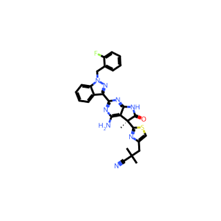 CC(C)(C#N)Cc1csc([C@]2(C)C(=O)Nc3nc(-c4nn(Cc5ccccc5F)c5ccccc45)nc(N)c32)n1